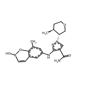 Cc1cc(Nc2nn([C@H]3COCC[C@@H]3C)cc2C(N)=O)cc2c1OB(O)C=C2